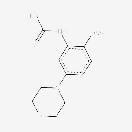 COc1ccc(N2CCOCC2)cc1NC(N)=S